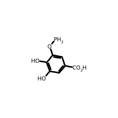 O=C(O)c1cc(O)c(O)c(OP)c1